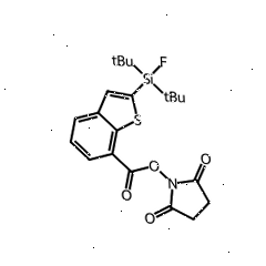 CC(C)(C)[Si](F)(c1cc2cccc(C(=O)ON3C(=O)CCC3=O)c2s1)C(C)(C)C